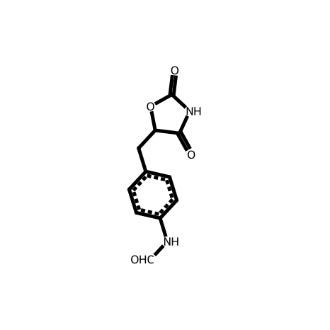 O=CNc1ccc(CC2OC(=O)NC2=O)cc1